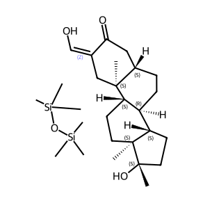 C[C@]12C/C(=C/O)C(=O)C[C@@H]1CC[C@@H]1[C@@H]2CC[C@@]2(C)[C@H]1CC[C@]2(C)O.C[Si](C)(C)O[Si](C)(C)C